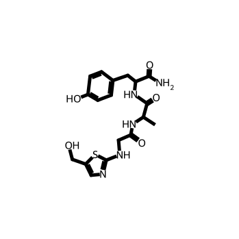 CC(NC(=O)CNc1ncc(CO)s1)C(=O)NC(Cc1ccc(O)cc1)C(N)=O